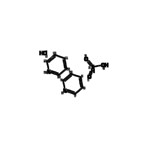 Cl.O=[SH](=O)O.c1ccncc1.c1ccncc1